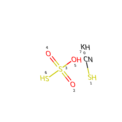 N#CS.O=S(=O)(O)S.[KH]